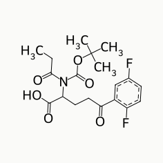 CCC(=O)N(C(=O)OC(C)(C)C)C(CCC(=O)c1cc(F)ccc1F)C(=O)O